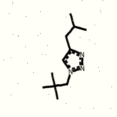 CC(C)Cc1cn(CC(C)(C)C)nn1